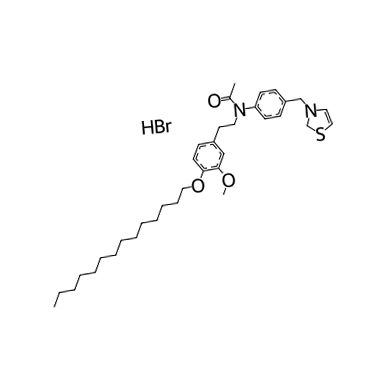 Br.CCCCCCCCCCCCCCOc1ccc(CCN(C(C)=O)c2ccc(CN3C=CSC3)cc2)cc1OC